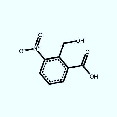 O=C(O)c1cccc([N+](=O)[O-])c1CO